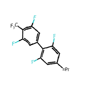 CCCc1cc(F)c(-c2cc(F)c(C(F)(F)F)c(F)c2)c(F)c1